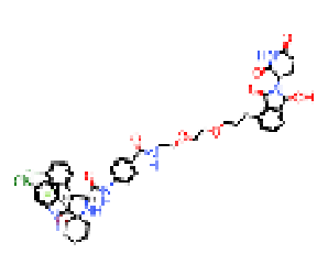 O=C1CCC(N2C(=O)c3c(CCCOCCOCCNC(=O)c4ccc(NC(=O)[C@@H]5NC6(CCCCC6)[C@@]6(C(=O)Nc7cc(Cl)ccc76)[C@H]5c5cccc(Cl)c5F)cc4)cccc3C2O)C(=O)N1